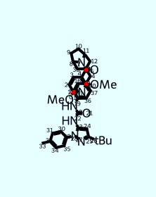 COc1ccc(C(=O)N2C3CCC2CC(Cc2ccc(NC(=O)Nc4cc(C(C)(C)C)nn4-c4ccc(C)cc4)cc2)C3)c(OC)n1